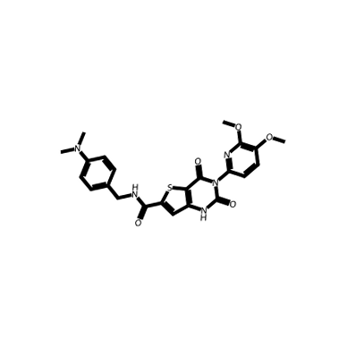 COc1ccc(-n2c(=O)[nH]c3cc(C(=O)NCc4ccc(N(C)C)cc4)sc3c2=O)nc1OC